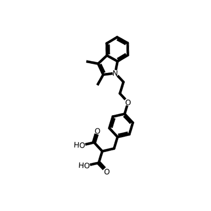 Cc1c(C)n(CCOc2ccc(CC(C(=O)O)C(=O)O)cc2)c2ccccc12